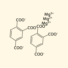 O=C([O-])c1ccc(C(=O)[O-])c(C(=O)[O-])c1.O=C([O-])c1ccc(C(=O)[O-])c(C(=O)[O-])c1.[Mg+2].[Mg+2].[Mg+2]